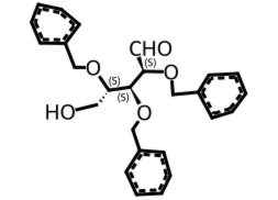 O=C[C@@H](OCc1ccccc1)[C@@H](OCc1ccccc1)[C@H](CO)OCc1ccccc1